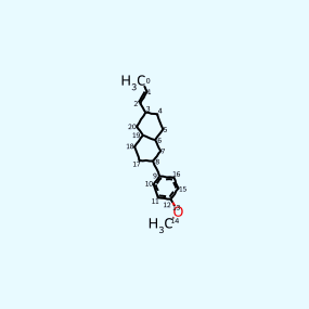 C/C=C/C1CCC2CC(c3ccc(OC)cc3)CCC2C1